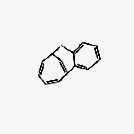 C1=CC2=CC(C=C1)Sc1ccccc12